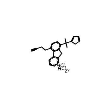 C#CCCc1ccc(C(C)(C)C2=CC=CC2)c2c1-c1ccccc1C2.Cl.Cl.[Zr]